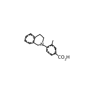 Cc1cc(C(=O)O)ccc1N1CCc2ccccc2C1